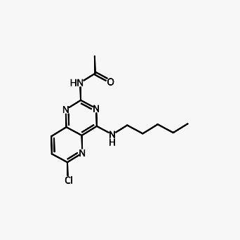 CCCCCNc1nc(NC(C)=O)nc2ccc(Cl)nc12